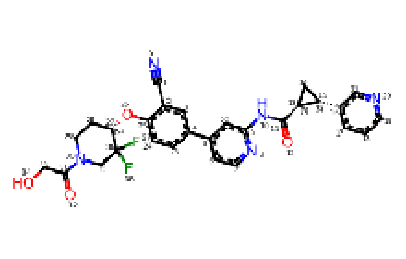 N#Cc1cc(-c2ccnc(NC(=O)[C@H]3C[C@@H]3c3cccnc3)c2)ccc1O[C@H]1CCN(C(=O)CO)CC1(F)F